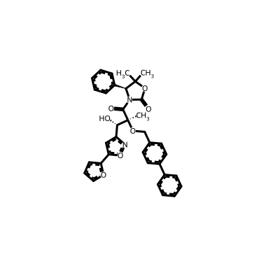 CC1(C)OC(=O)N(C(=O)[C@@](C)(OCc2ccc(-c3ccccc3)cc2)[C@@H](O)c2cc(-c3ccco3)on2)[C@H]1c1ccccc1